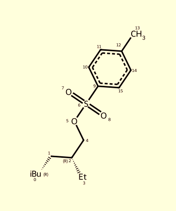 CC[C@@H](C)C[C@@H](CC)COS(=O)(=O)c1ccc(C)cc1